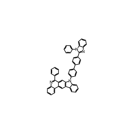 c1ccc(-c2nc3ccccc3c3cc4c5ccccc5n(-c5ccc(-c6ccc(-c7nc8ccccc8n7-c7ccccc7)cc6)cc5)c4cc23)cc1